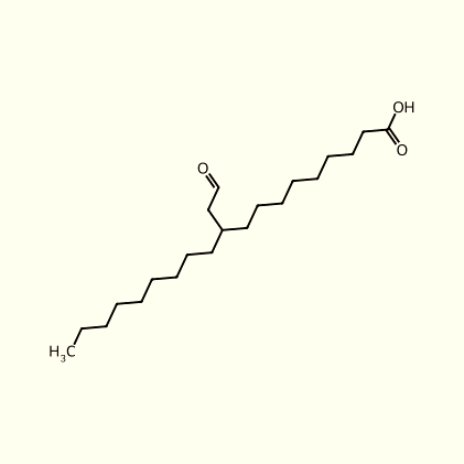 CCCCCCCCCC(CC=O)CCCCCCCCC(=O)O